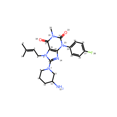 CC(C)=CCn1c(N2CCCC(N)C2)nc2c1c(=O)n(C)c(=O)n2-c1ccc(F)cc1